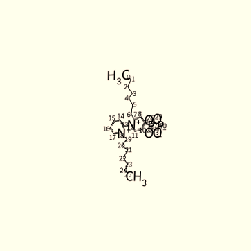 CCCCCCCc1cccc[n+]1-c1cccc[n+]1CCCCCCC.O=P[O-].O=P[O-]